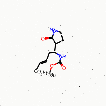 CCOC(=O)C=CCC(NC(=O)OC(C)(C)C)C1CCNC1=O